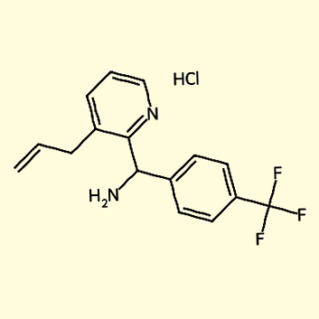 C=CCc1cccnc1C(N)c1ccc(C(F)(F)F)cc1.Cl